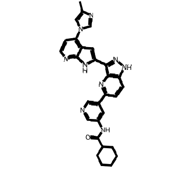 Cc1cn(-c2ccnc3[nH]c(-c4n[nH]c5ccc(-c6cncc(NC(=O)C7CCCCC7)c6)nc45)cc23)cn1